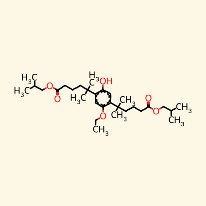 CCOc1cc(C(C)(C)CCCC(=O)OCC(C)C)c(O)cc1C(C)(C)CCCC(=O)OCC(C)C